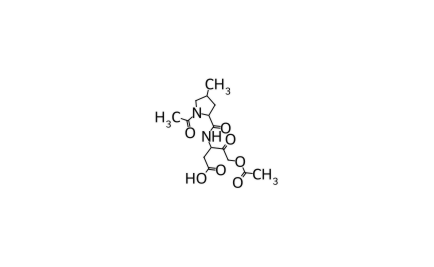 CC(=O)OCC(=O)C(CC(=O)O)NC(=O)C1CC(C)CN1C(C)=O